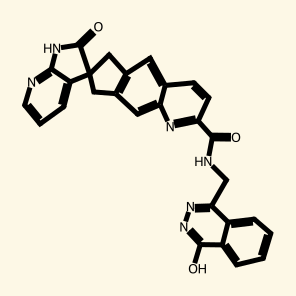 O=C(NCc1nnc(O)c2ccccc12)c1ccc2cc3c(cc2n1)CC1(C3)C(=O)Nc2ncccc21